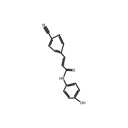 N#Cc1ccc(/C=C/C(=O)Nc2ccc(O)cc2)cc1